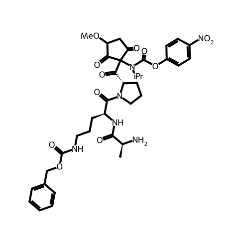 COC1CC(=O)C(C(=O)[C@@H]2CCCN2C(=O)[C@H](CCCNC(=O)OCc2ccccc2)NC(=O)[C@H](C)N)(N(C(=O)Oc2ccc([N+](=O)[O-])cc2)C(C)C)C1=O